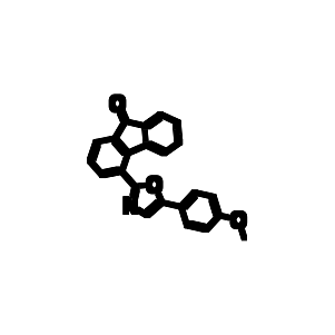 COc1ccc(-c2cnc(-c3cccc4c3-c3ccccc3C4=O)o2)cc1